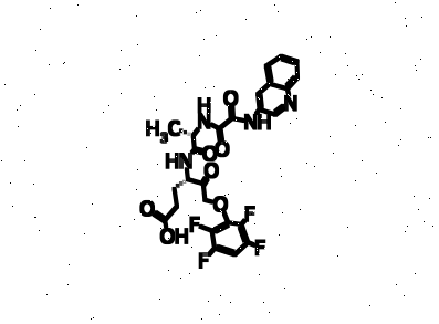 C[C@H](NC(=O)C(=O)Nc1cnc2ccccc2c1)C(=O)N[C@@H](CCC(=O)O)C(=O)COc1c(F)c(F)cc(F)c1F